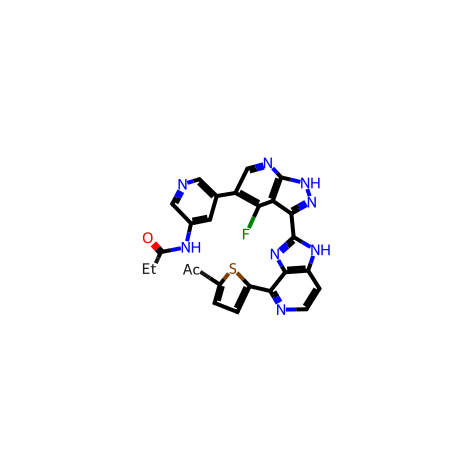 CCC(=O)Nc1cncc(-c2cnc3[nH]nc(-c4nc5c(-c6ccc(C(C)=O)s6)nccc5[nH]4)c3c2F)c1